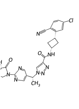 C[C@H](c1cnc(N2C[C@H]3C[C@H]3C2=O)nc1)n1cc(C(=O)N[C@H]2C[C@@H](c3cc(Cl)ccc3C#N)C2)nn1